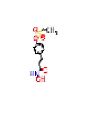 CCS(=O)(=O)Oc1ccc(C=CC(=O)NO)cc1